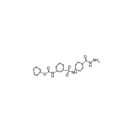 NNC(=O)c1ccc(NS(=O)(=O)c2cccc(NC(=O)Oc3ccccc3)c2)cc1